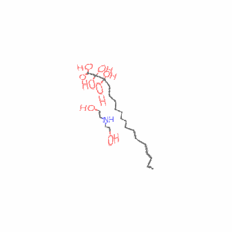 CCCCCCCCCCCCCCCC(O)(O)C(O)(O)C(=O)O.OCCNCCO